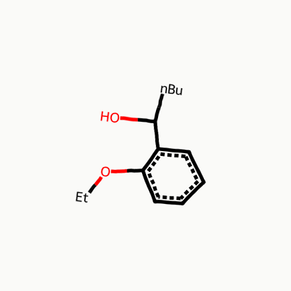 CCCCC(O)c1ccccc1OCC